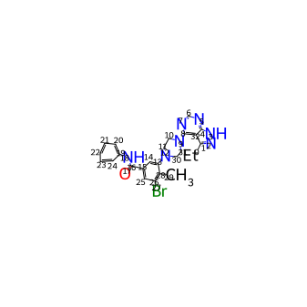 CCc1n[nH]c2ncnc(N3CCN(c4cc(C(=O)Nc5ccccc5)cc(Br)c4C)CC3)c12